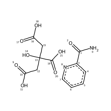 NC(=O)c1ccccn1.O=C(O)CC(O)(CC(=O)O)C(=O)O